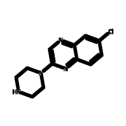 Clc1ccc2nc(N3CCNCC3)cnc2c1